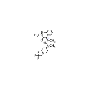 COC(=O)/C(=C(/C)N[C@H](C)C1CCN(CC(F)(F)F)CC1)c1ccccc1Br